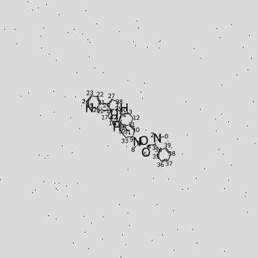 CN(C)C(C(=O)ON(C)C1C=C2CC[C@H]3[C@H](CC[C@]4(C)C(c5cccnc5)=CC[C@@H]34)[C@@]2(C)CC1)c1ccccc1